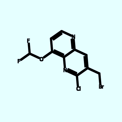 FC(F)Oc1ccnc2cc(CBr)c(Cl)nc12